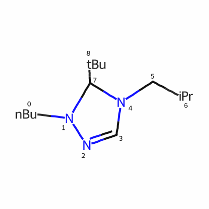 CCCCN1N=CN(CC(C)C)C1C(C)(C)C